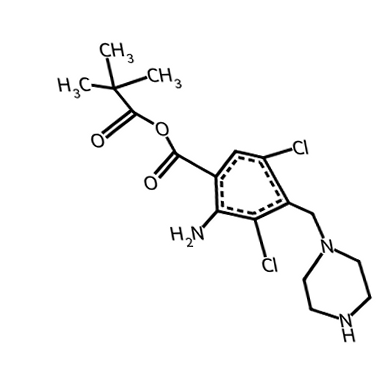 CC(C)(C)C(=O)OC(=O)c1cc(Cl)c(CN2CCNCC2)c(Cl)c1N